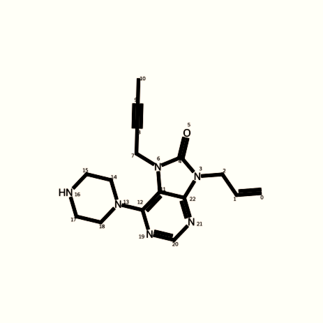 C=CCn1c(=O)n(CC#CC)c2c(N3CCNCC3)ncnc21